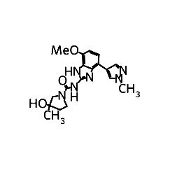 COc1ccc(-c2cnn(C)c2)c2nc(NC(=O)N3CCC(C)(O)C3)[nH]c12